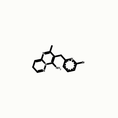 CC1=NC2=CCC=NN2C(N)=C1Cc1cccc(Br)n1